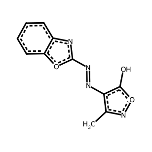 Cc1noc(O)c1N=Nc1nc2ccccc2o1